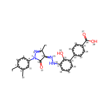 CC1=NN(c2ccc(C)c(C)c2)C(=O)C1=NNc1cccc(-c2ccc(C(=O)O)cc2)c1O